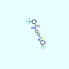 O=C(NC1CC2(C1)CC(c1nc3cc(Cl)ccc3s1)C2)c1cccc(C(F)(F)F)c1